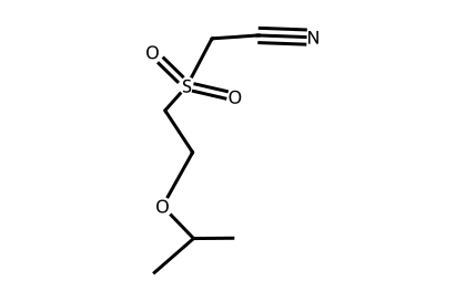 CC(C)OCCS(=O)(=O)CC#N